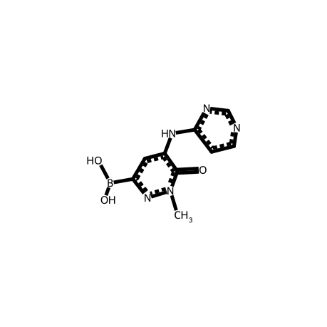 Cn1nc(B(O)O)cc(Nc2ccncn2)c1=O